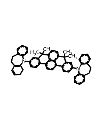 CC1(C)c2cc(N3C4=C(C=CCC4)CCc4ccccc43)ccc2-c2ccc3c4c(ccc1c24)C(C)(C)c1cc(N2c4ccccc4CCc4ccccc42)ccc1-3